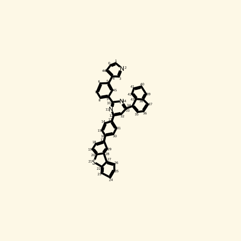 c1cncc(-c2cccc(-c3nc(-c4ccc(-c5ccc6sc7ccccc7c6c5)cc4)cc(-c4cccc5ccccc45)n3)c2)c1